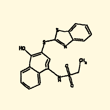 CCS(=O)(=O)Nc1cc(Sc2nc3ccccc3s2)c(O)c2ccccc12